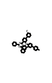 Cc1ccc(-c2ccc3c(c2)c2ccccc2n3-c2cc(-c3cccc(F)c3)ccc2-c2nc(-c3ccccc3)nc(-c3ccccc3)n2)cc1